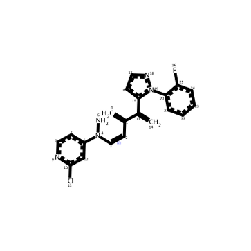 C=C(/C=C\N(N)c1ccnc(Cl)c1)C(=C)c1ccnn1-c1ccccc1F